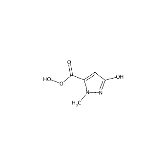 Cn1nc(O)cc1C(=O)OO